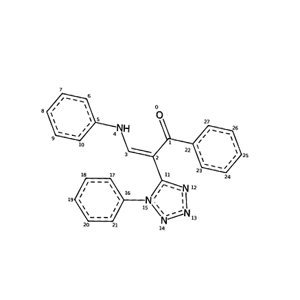 O=C(C(=CNc1ccccc1)c1nnnn1-c1ccccc1)c1ccccc1